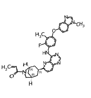 C=CC(=O)N1C[C@@H]2C[C@H](c3ccc4ncnc(Nc5ccc(Oc6ccc7c(c6)ncn7C)c(C)c5F)c4n3)C[C@H]1C2